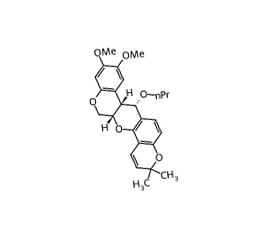 CCCO[C@@H]1c2ccc3c(c2O[C@@H]2COc4cc(OC)c(OC)cc4[C@H]12)C=CC(C)(C)O3